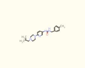 Cc1ccc(CNC(=O)Nc2ccc(N3CCN(CC(C)C)CC3)nc2)cc1